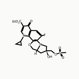 CCOC(=O)c1cn(C2CC2)c2c3c(c(F)cc2c1=O)N1C[C@](O)(COS(C)(=O)=O)C[C@@H]1CO3